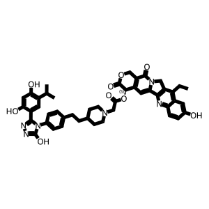 CCc1c2c(nc3ccc(O)cc13)-c1cc3c(c(=O)n1C2)COC(=O)[C@H]3OC(=O)CN1CCC(CCc2ccc(-n3c(O)nnc3-c3cc(C(C)C)c(O)cc3O)cc2)CC1